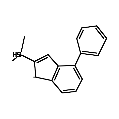 C[SiH](C)C1=Cc2c(cccc2-c2ccccc2)[CH]1